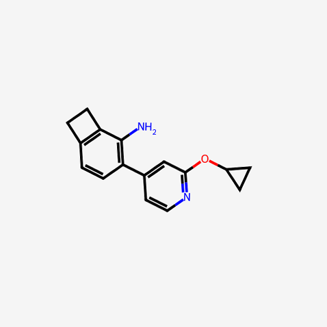 Nc1c(-c2ccnc(OC3CC3)c2)ccc2c1CC2